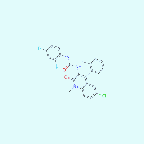 Cc1ccccc1-c1c(NC(=O)Nc2ccc(F)cc2F)c(=O)n(C)c2ccc(Cl)cc12